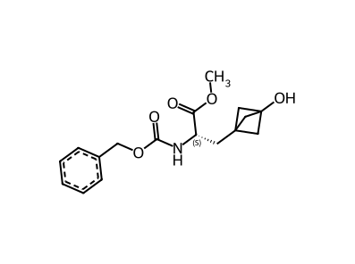 COC(=O)[C@H](CC12CC(O)(C1)C2)NC(=O)OCc1ccccc1